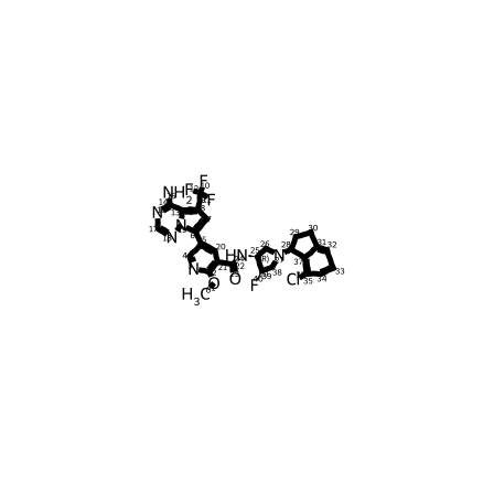 COc1ncc(-c2cc(C(F)(F)F)c3c(N)ncnn23)cc1C(=O)N[C@@H]1CN(C2CCc3cccc(Cl)c32)C[C@@H]1F